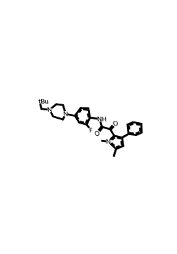 Cc1cc(-c2ccccc2)c(C(=O)C(=O)Nc2ccc(N3CCN(CC(C)(C)C)CC3)cc2F)n1C